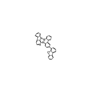 c1ccc2c(c1)B1N(c3ccc(-c4cccc5c4oc4ccccc45)cc3-2)c2nccc3c4ccccc4n1c23